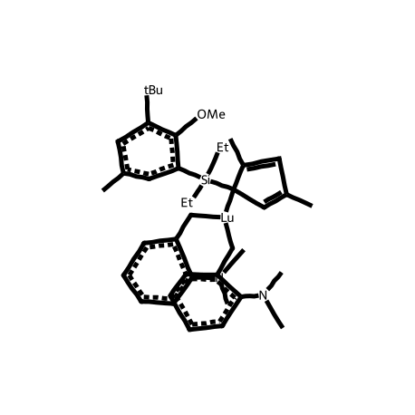 CC[Si](CC)(c1cc(C)cc(C(C)(C)C)c1OC)[C]1([Lu]([CH2]c2ccccc2N(C)C)[CH2]c2ccccc2N(C)C)C=C(C)C=C1C